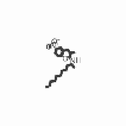 CCCCCCCCCC(C)NC(=O)C(C)=Cc1cccc([N+](=O)[O-])c1